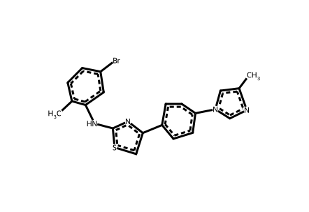 Cc1cn(-c2ccc(-c3csc(Nc4cc(Br)ccc4C)n3)cc2)cn1